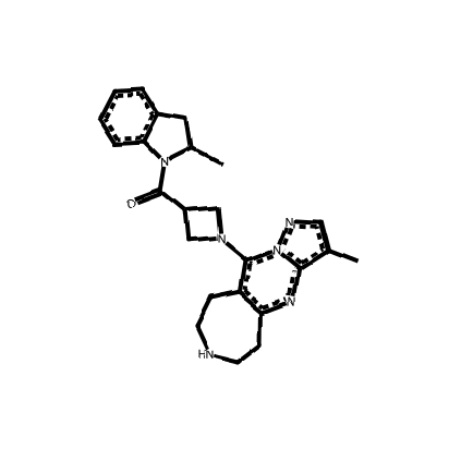 Cc1cnn2c(N3CC(C(=O)N4c5ccccc5CC4C)C3)c3c(nc12)CCNCC3